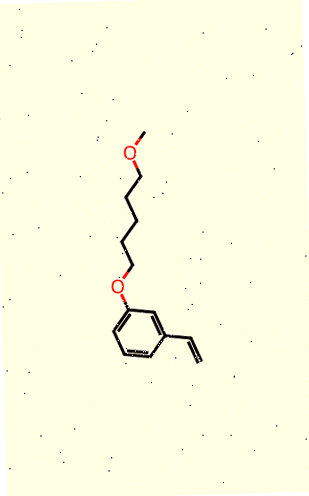 C=Cc1cccc(OCCCCCOC)c1